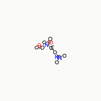 c1ccc(-c2cc(-c3ccc(-c4ccc(-c5nc6c(-c7cccc8c7oc7ccccc78)cccc6c6c5oc5ccccc56)cc4)cc3)nc(-c3ccccc3)n2)cc1